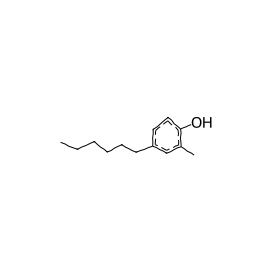 CCCCCCc1ccc(O)c(C)c1